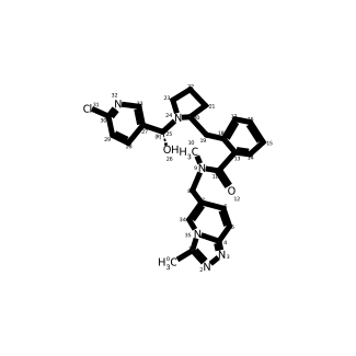 Cc1nnc2ccc(CN(C)C(=O)c3ccccc3CC3CCCN3[C@H](O)c3ccc(Cl)nc3)cn12